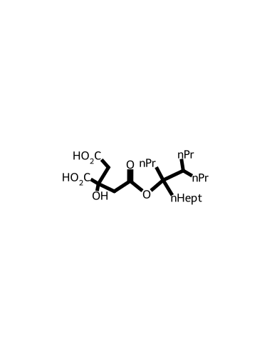 CCCCCCCC(CCC)(OC(=O)CC(O)(CC(=O)O)C(=O)O)C(CCC)CCC